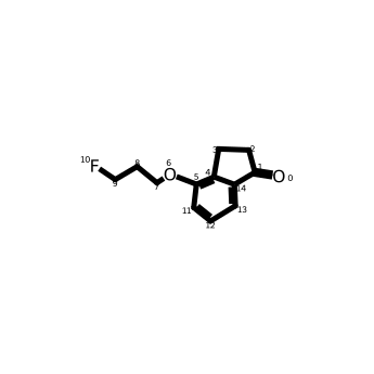 O=C1CCc2c(OCCCF)cccc21